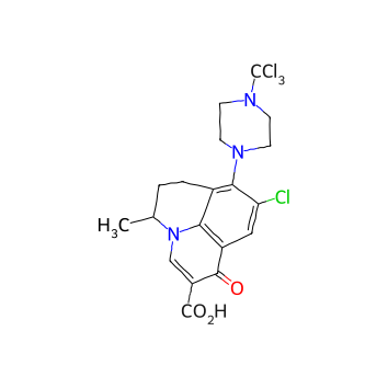 CC1CCc2c(N3CCN(C(Cl)(Cl)Cl)CC3)c(Cl)cc3c(=O)c(C(=O)O)cn1c23